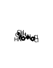 CC(=O)Nc1c[nH]c2ccc(-c3cnn(-c4ccc(Cl)c(Cl)c4)c3)cc12